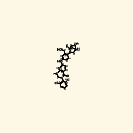 CN1CN(c2c(Cl)cccc2Cl)C(=O)c2cnc(Nc3ccc(N4C[C@@H]5C[C@H]4CN5C)c(CO)c3)nc21